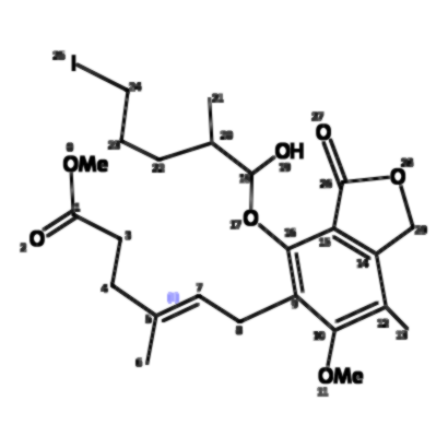 COC(=O)CC/C(C)=C/Cc1c(OC)c(C)c2c(c1OC(O)C(C)CCCI)C(=O)OC2